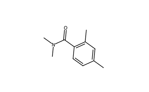 Cc1ccc(C(=O)N(C)C)c(C)c1